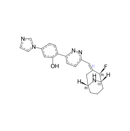 Oc1cc(-n2ccnc2)ccc1-c1ccc(/C=C2\C[C@H]3CCC[C@H](N3)[C@@H]2F)nn1